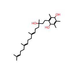 CC(C)=CCC/C(C)=C/CC/C(C)=C/CCC(C)(O)CCC1=C(C)C(O)C(C)=C(C)C1O